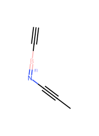 C#C/B=N/C#CC